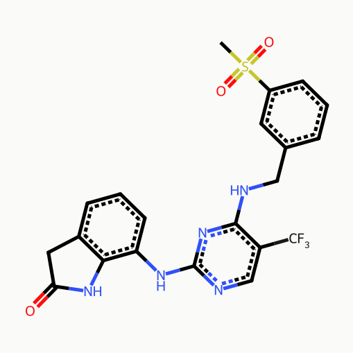 CS(=O)(=O)c1cccc(CNc2nc(Nc3cccc4c3NC(=O)C4)ncc2C(F)(F)F)c1